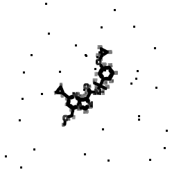 COCc1cc(C2CC2)nc2c(C(=O)NC(C)(C)c3cccc(OC4CC4)c3)ncn12